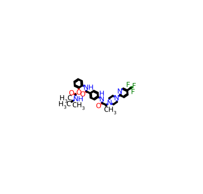 CC(C(=O)Nc1ccc(C(=O)Nc2ccccc2OC(=O)NC(C)(C)C)cc1)N1CCN(c2ccc(C(F)(F)F)cn2)CC1